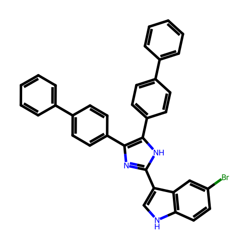 Brc1ccc2[nH]cc(-c3nc(-c4ccc(-c5ccccc5)cc4)c(-c4ccc(-c5ccccc5)cc4)[nH]3)c2c1